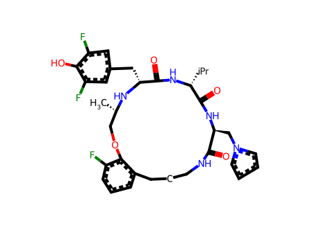 CC(C)[C@H]1NC(=O)[C@@H](Cc2cc(F)c(O)c(F)c2)N[C@@H](C)COc2c(F)cccc2CCCNC(=O)[C@H](Cn2cccc2)NC1=O